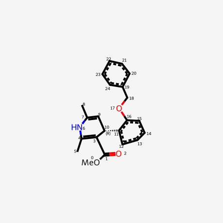 COC(=O)C1=C(C)NC(C)=C[C@@H]1c1ccccc1OCc1ccccc1